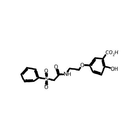 O=C(CS(=O)(=O)c1ccccc1)NCCOc1ccc(O)c(C(=O)O)c1